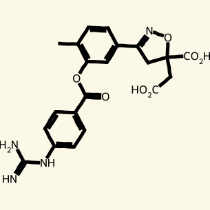 Cc1ccc(C2=NOC(CC(=O)O)(C(=O)O)C2)cc1OC(=O)c1ccc(NC(=N)N)cc1